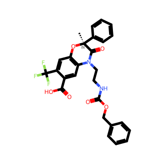 C[C@@]1(c2ccccc2)Oc2cc(C(F)(F)F)c(C(=O)O)cc2N(CCNC(=O)OCc2ccccc2)C1=O